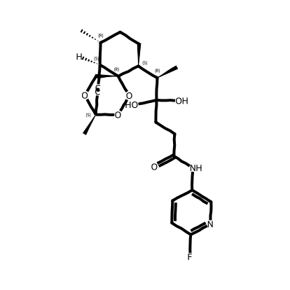 C[C@@H]1CC[C@@H]([C@@H](C)C(O)(O)CCC(=O)Nc2ccc(F)nc2)[C@@]23CO[C@](C)(CC[C@@H]12)OO3